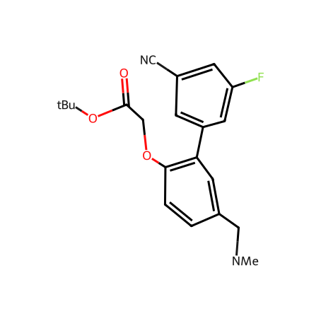 CNCc1ccc(OCC(=O)OC(C)(C)C)c(-c2cc(F)cc(C#N)c2)c1